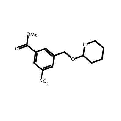 COC(=O)c1cc(COC2CCCCO2)cc([N+](=O)[O-])c1